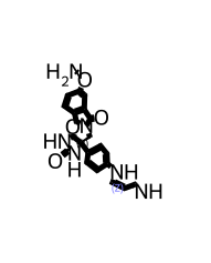 N=C/C=C\Nc1ccc([C@]2(CN3Cc4ccc(ON)cc4C3=O)NC(=O)NC2=O)cc1